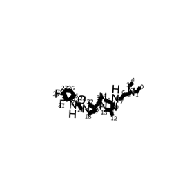 CCN(CC)CCCNc1nc(C)cn2c(-c3ccn(CC(=O)Nc4cccc(F)c4F)c3)cnc12